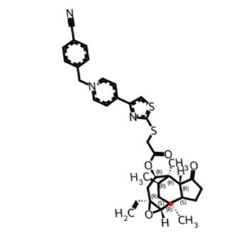 C=C[C@]12C[C@@H](OC(=O)CSc3nc(-c4cc[n+](Cc5ccc(C#N)cc5)cc4)cs3)[C@]3(C)[C@H](C)CC[C@]4(CCC(=O)[C@H]43)[C@@H](C)[C@@H]1O2